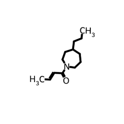 CC=CC(=O)N1CCCC(CCC)CC1